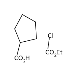 CCOC(=O)Cl.O=C(O)C1CCCC1